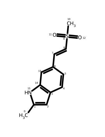 Cc1cc2ccc(/C=C/S(C)(=O)=O)cc2[nH]1